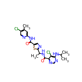 Cc1cc(NC(=O)c2cnc(C(C)NC(=O)c3ncnc(NC(C)C)c3Cl)s2)ncc1Cl